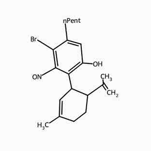 C=C(C)C1CCC(C)=CC1c1c(O)cc(CCCCC)c(Br)c1N=O